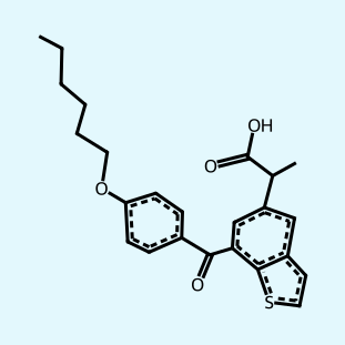 CCCCCCOc1ccc(C(=O)c2cc(C(C)C(=O)O)cc3ccsc23)cc1